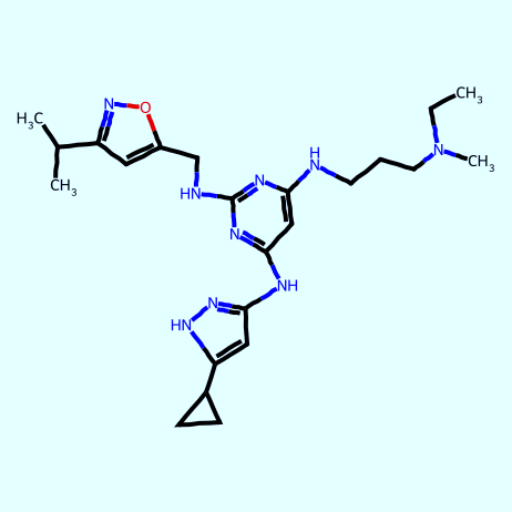 CCN(C)CCCNc1cc(Nc2cc(C3CC3)[nH]n2)nc(NCc2cc(C(C)C)no2)n1